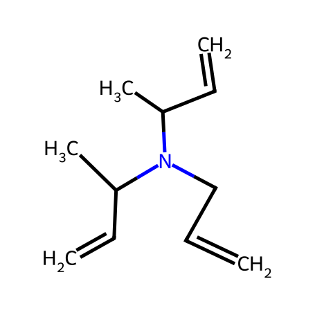 C=CCN(C(C)C=C)C(C)C=C